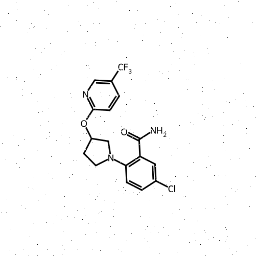 NC(=O)c1cc(Cl)ccc1N1CCC(Oc2ccc(C(F)(F)F)cn2)C1